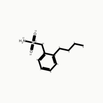 CCCCc1ccccc1CS(N)(=O)=O